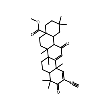 C#[N+]C1=CC2(C)C3=CC(=O)C4C5CC(C)(C)CCC5(C(=O)OC)CCC4(C)C3(C)CCC2C(C)(C)C1=O